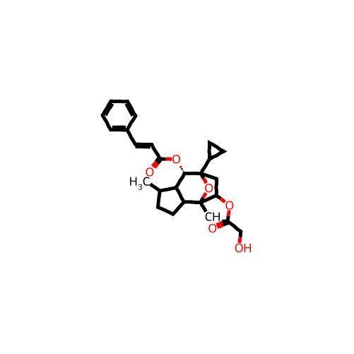 CC1CCC2C1[C@H](OC(=O)/C=C/c1ccccc1)C1(C3CC3)CC(OC(=O)CO)C2(C)O1